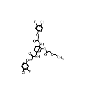 CCOCC(=O)OC1CC2(NC(=O)COc3ccc(Cl)c(F)c3)CCC1(NC(=O)COc1ccc(Cl)c(F)c1)CC2